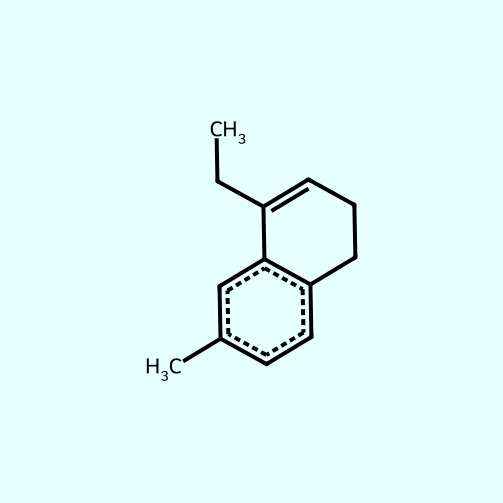 CCC1=CCCc2ccc(C)cc21